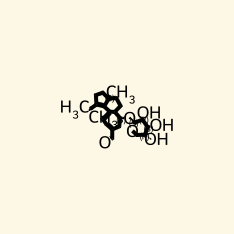 CC(C)C1=C2C3=CC=C(C=O)C[C@H](O[C@@H]4OC[C@@H](O)[C@H](O)[C@H]4O)C3CC[C@@]2(C)CC1